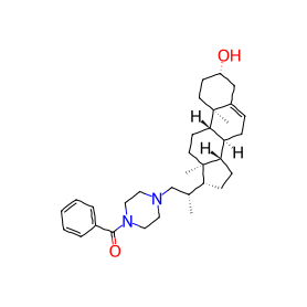 C[C@H](CN1CCN(C(=O)c2ccccc2)CC1)[C@H]1CC[C@H]2[C@@H]3CC=C4C[C@@H](O)CC[C@]4(C)[C@H]3CC[C@]12C